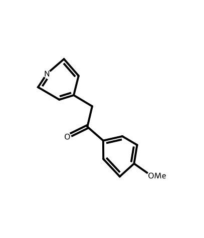 COc1ccc(C(=O)Cc2ccncc2)cc1